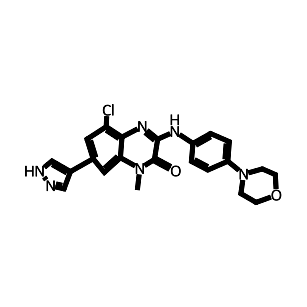 Cn1c(=O)c(Nc2ccc(N3CCOCC3)cc2)nc2c(Cl)cc(-c3cn[nH]c3)cc21